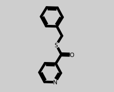 O=C(SCc1ccccc1)c1cccnc1